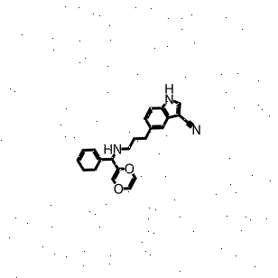 N#Cc1c[nH]c2ccc(CCCNC(C3=CC=CCC3)C3=COC=CO3)cc12